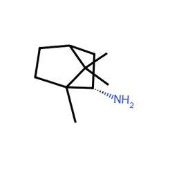 CC1(C)C2CCC1(C)[C@@H](N)C2